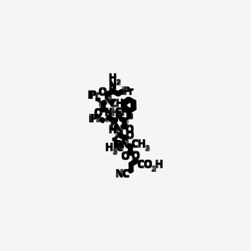 CC(C)C[C@H](NC(=O)[C@H](Cc1ccccc1)N(C)C(=O)[C@H](CC(C)C)NC(=O)[C@H](CC(C)C)N(C)C(=O)[C@@H](N)CC(C)C)C(=O)N(C)[C@@H](C)C(=O)O[C@H](CCC#N)C(=O)O